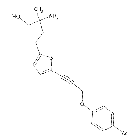 CC(=O)c1ccc(OCC#Cc2ccc(CCC(C)(N)CO)s2)cc1